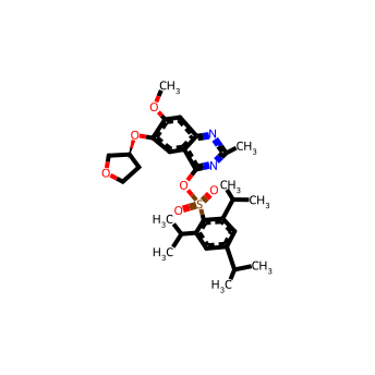 COc1cc2nc(C)nc(OS(=O)(=O)c3c(C(C)C)cc(C(C)C)cc3C(C)C)c2cc1O[C@H]1CCOC1